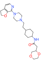 O=C(CC1COCCO1)NC1CCC(CCN2CCN(c3nccc4c3OCC4)CC2)CC1